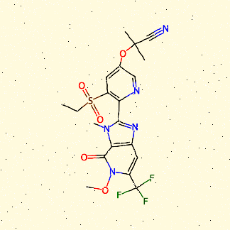 CCS(=O)(=O)c1cc(OC(C)(C)C#N)cnc1-c1nc2cc(C(F)(F)F)n(OC)c(=O)c2n1C